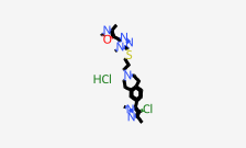 Cc1ncoc1-c1nnc(SCCCN2CCc3ccc(-c4c(Cl)c(C)nn4C)cc3CC2)n1C.Cl